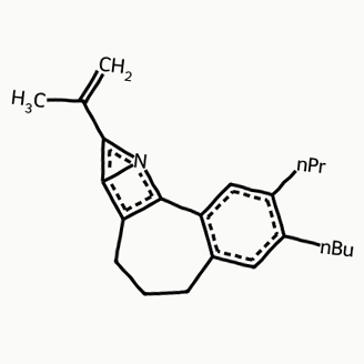 C=C(C)c1c2c3c(n1-2)-c1cc(CCC)c(CCCC)cc1CCC3